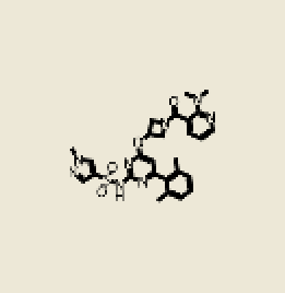 Cc1cccc(C)c1-c1cc(OC2CN(C(=O)c3cccnc3N(C)C)C2)nc(NS(=O)(=O)c2cnn(C)c2)n1